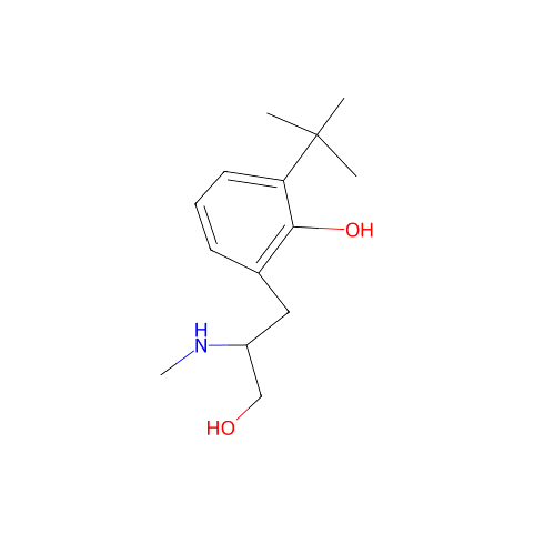 CNC(CO)Cc1cccc(C(C)(C)C)c1O